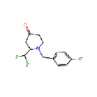 O=C1CCN(Cc2ccc(Cl)cc2)C(C(F)F)C1